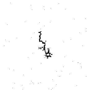 CC1=C(C)C(=O)C(CC[C@](C)(O)CCC[C@H](C)CCC[C@H](C)CCCC(C)C)=C(C#N)C1=O